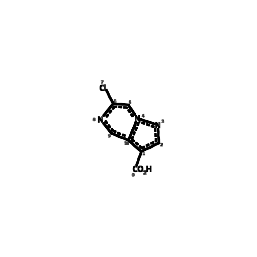 O=C(O)c1cnn2cc(Cl)ncc12